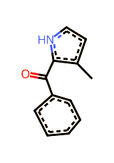 Cc1cc[nH]c1C(=O)c1ccccc1